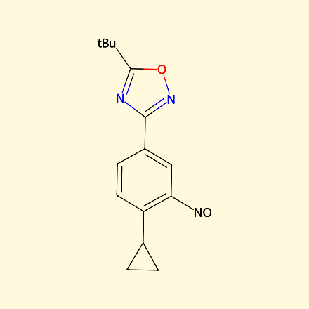 CC(C)(C)c1nc(-c2ccc(C3CC3)c(N=O)c2)no1